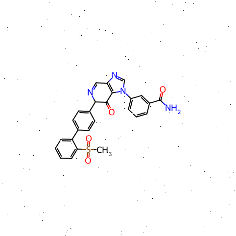 CS(=O)(=O)c1ccccc1-c1ccc(C2N=Cc3ncn(-c4cccc(C(N)=O)c4)c3C2=O)cc1